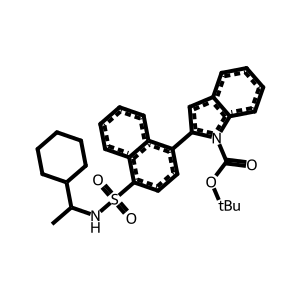 CC(NS(=O)(=O)c1ccc(-c2cc3ccccc3n2C(=O)OC(C)(C)C)c2ccccc12)C1CCCCC1